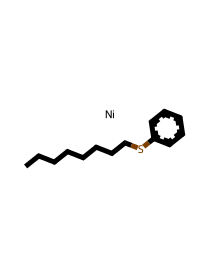 CCCCCCCCSc1ccccc1.[Ni]